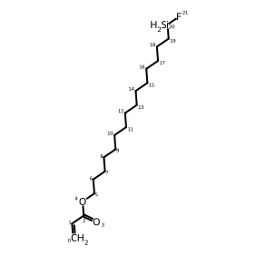 C=CC(=O)OCCCCCCCCCCCCCCC[SiH2]F